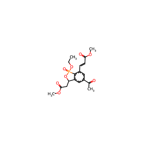 CCOP1(=O)OC(CC(=O)OC)c2cc(C(C)=O)cc(C=CC(=O)OC)c21